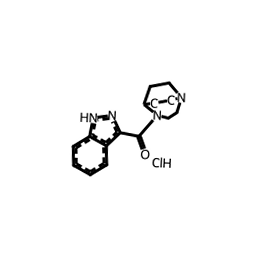 Cl.O=C(c1n[nH]c2ccccc12)N1CCN2CCC1CC2